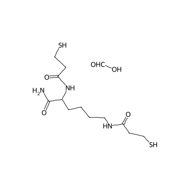 NC(=O)C(CCCCNC(=O)CCS)NC(=O)CCS.O=CO